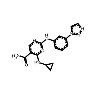 NC(=O)c1cnc(Nc2cccc(-n3ccnn3)c2)nc1NC1CC1